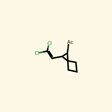 CC(=O)C1C(C=C(Cl)Cl)C12CCC2